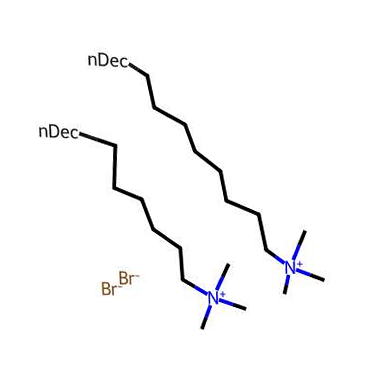 CCCCCCCCCCCCCCCCCC[N+](C)(C)C.CCCCCCCCCCCCCCCC[N+](C)(C)C.[Br-].[Br-]